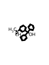 CN(C)c1cccc(C(O)(c2ccccc2)c2ccccc2)c1